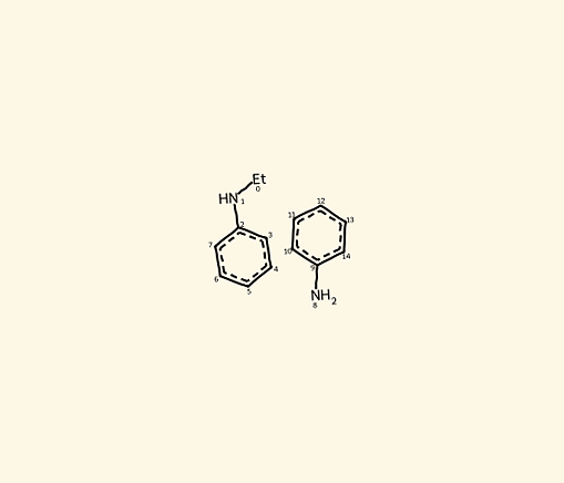 CCNc1ccccc1.Nc1ccccc1